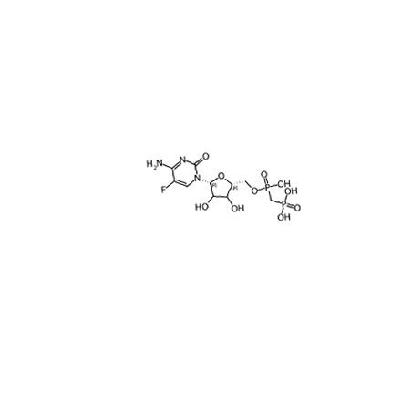 Nc1nc(=O)n([C@@H]2O[C@H](COP(=O)(O)CP(=O)(O)O)C(O)C2O)cc1F